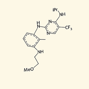 COCCNc1cccc(Nc2ncc(C(F)(F)F)c(NC(C)C)n2)c1C